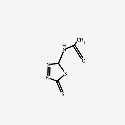 CC(=O)NC1N=NC(=S)S1